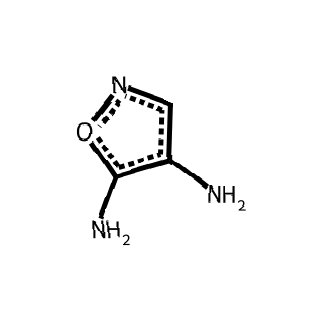 Nc1cnoc1N